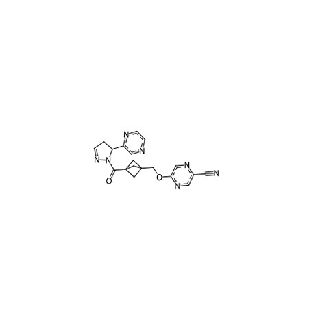 N#Cc1cnc(OCC23CC(C(=O)N4N=CCC4c4cnccn4)(C2)C3)cn1